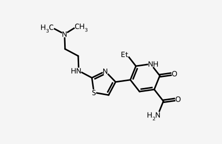 CCc1[nH]c(=O)c(C(N)=O)cc1-c1csc(NCCN(C)C)n1